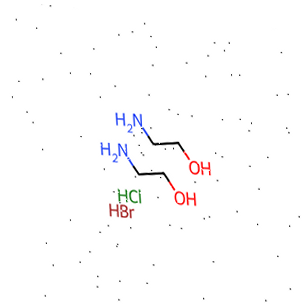 Br.Cl.NCCO.NCCO